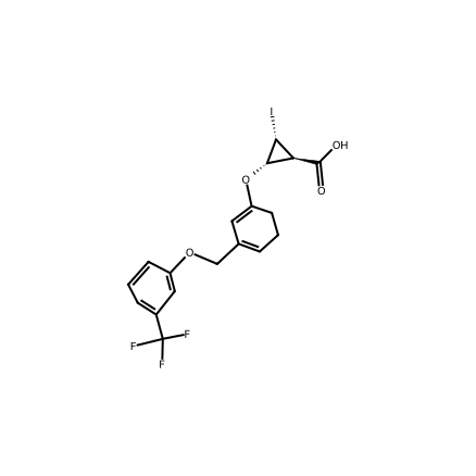 O=C(O)[C@@H]1[C@@H](I)[C@H]1OC1=CC(COc2cccc(C(F)(F)F)c2)=CCC1